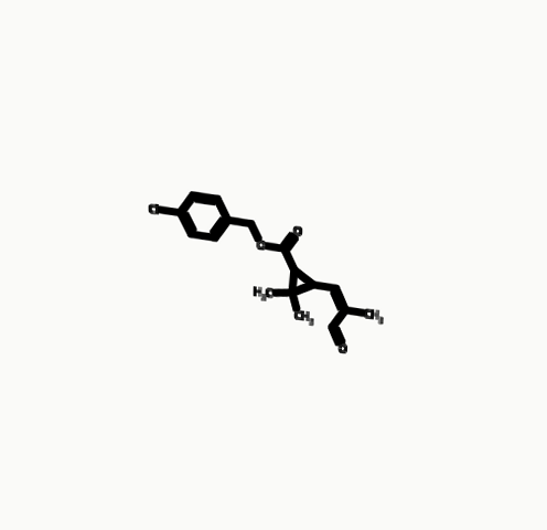 CC(C=O)=CC1C(C(=O)OCc2ccc(Cl)cc2)C1(C)C